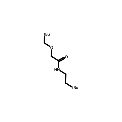 CC(C)(C)CCNC(=O)COCC(C)(C)C